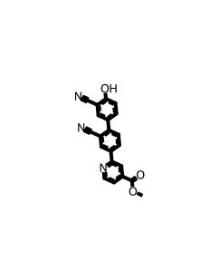 COC(=O)c1ccnc(-c2ccc(-c3ccc(O)c(C#N)c3)c(C#N)c2)c1